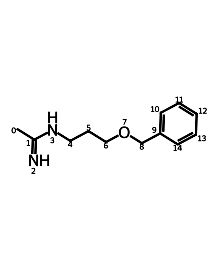 CC(=N)NCCCOCc1ccccc1